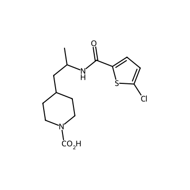 CC(CC1CCN(C(=O)O)CC1)NC(=O)c1ccc(Cl)s1